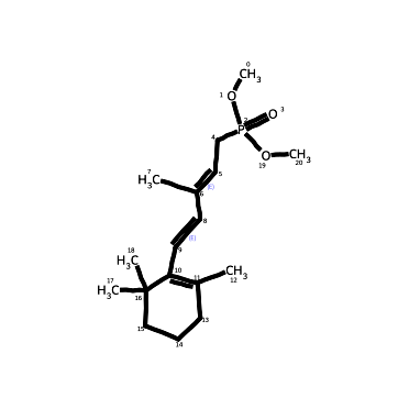 COP(=O)(C/C=C(C)/C=C/C1=C(C)CCCC1(C)C)OC